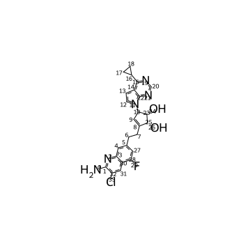 Nc1nc2cc(CCC3=C[C@@H](n4ccc5c(C6CC6)ncnc54)[C@H](O)[C@@H]3O)cc(F)c2cc1Cl